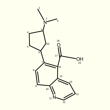 CN(C)C1CCC(c2ccc3ncccc3c2C(=O)O)C1